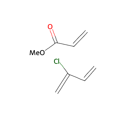 C=CC(=C)Cl.C=CC(=O)OC